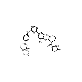 N#Cc1cc(-c2ncnc(Nc3ccc(N4CCN5CCOC[C@H]5C4)cc3)n2)ccc1OC1[C@H](F)CCCN1C(=O)[C@@H]1CCC(=O)N1